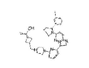 O=C(O)N1CC(CN2CCN(c3cccc(-c4cnc5ccc(N6CCC[C@@H]6c6cccc(F)c6)nn45)n3)CC2)C1